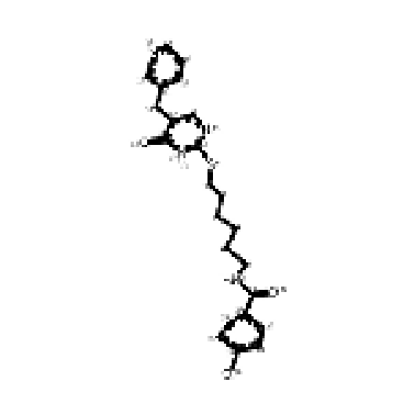 O=C(NCCCCCCSc1ncc(Cc2cccnc2)c(=O)[nH]1)c1ccc(Cl)cc1